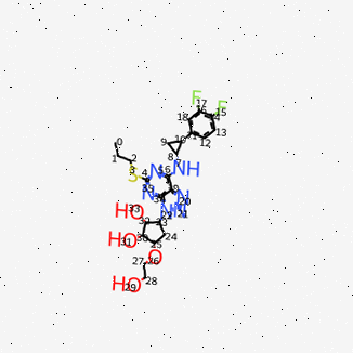 CCCSc1nc(N[C@@H]2C[C@H]2c2ccc(F)c(F)c2)c2nnn(C3C[C@H](OCCO)[C@@H](O)C3O)c2n1